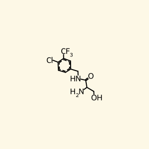 NC(CO)C(=O)NCc1ccc(Cl)c(C(F)(F)F)c1